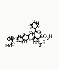 CC(C)(C)OC(=O)Nc1ccc2ccc(CN(C(=O)c3cccnc3)c3cnn(C(F)F)c3C(=O)O)cc2n1